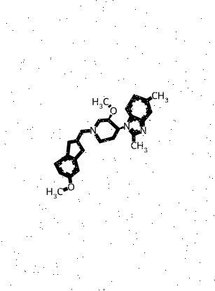 COc1ccc2c(c1)CC(CN1CC[C@H](n3c(C)nc4cc(C)ccc43)[C@H](OC)C1)C2